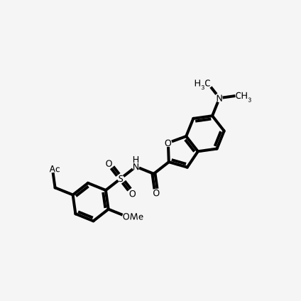 COc1ccc(CC(C)=O)cc1S(=O)(=O)NC(=O)c1cc2ccc(N(C)C)cc2o1